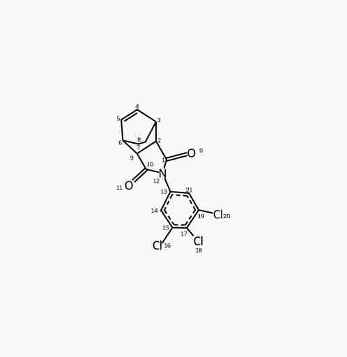 O=C1C2C3C=CC(CC3)C2C(=O)N1c1cc(Cl)c(Cl)c(Cl)c1